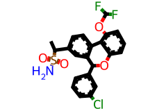 CC(c1ccc2c(c1)C(c1cccc(Cl)c1)Oc1cccc(OC(F)F)c1-2)S(N)(=O)=O